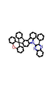 c1ccc(-c2nc3ccccc3nc2-n2c3ccccc3c3c4c(ccc32)C2(c3ccccc3Oc3ccccc32)c2ccccc2-4)cc1